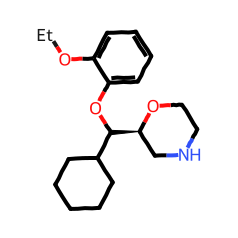 CCOc1ccccc1OC(C1CCCCC1)[C@@H]1CNCCO1